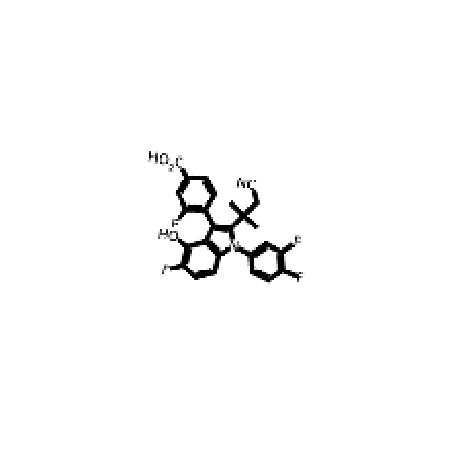 CC(C)(CC#N)c1c(-c2ccc(C(=O)O)cc2F)c2c(O)c(F)ccc2n1-c1ccc(F)c(F)c1